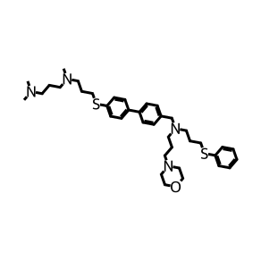 CN(C)CCCN(C)CCCSc1ccc(-c2ccc(CN(CCCSc3ccccc3)CCCN3CCOCC3)cc2)cc1